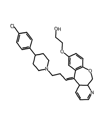 OCCOc1ccc2c(c1)C(=CCCN1CCC(c3ccc(Cl)cc3)CC1)C1C=CC=NC1CO2